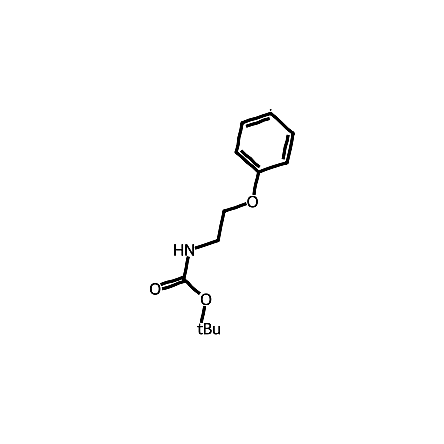 CC(C)(C)OC(=O)NCCOc1cc[c]cc1